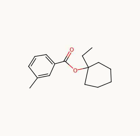 CCC1(OC(=O)c2cccc(C)c2)CCCCC1